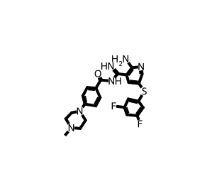 CN1CCN(c2ccc(C(=O)NC(=N)c3cc(Sc4cc(F)cc(F)c4)cnc3N)cc2)CC1